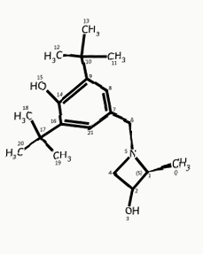 C[C@H]1C(O)CN1Cc1cc(C(C)(C)C)c(O)c(C(C)(C)C)c1